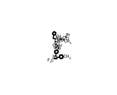 Cc1ccc(-c2cc(C(F)(F)F)nn2-c2ccc(S(=O)(=O)NC(=O)OC[C@H](Cc3ccccc3)N(C)[N+]([O-])=NOC(C)OC(=O)C(C)C)cc2)cc1